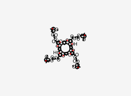 COc1cc(O)c2cc1C(c1ccc(C(=O)OCC(=O)OC34CC5CC(C)(CC(OC)(C5)C3)C4)cc1)c1cc(c(OC)cc1O)C(c1ccc(C(=O)OCC(=O)OC34CC5CC(C)(CC(OC)(C5)C3)C4)cc1)c1cc(c(OC)cc1O)C(c1ccc(C(=O)OCC(=O)OC34CC5CC(C)(CC(OC)(C5)C3)C4)cc1)c1cc(c(OC)cc1O)C2c1ccc(C(=O)OCC(=O)OC23CC4CC(C)(CC(OC)(C4)C2)C3)cc1